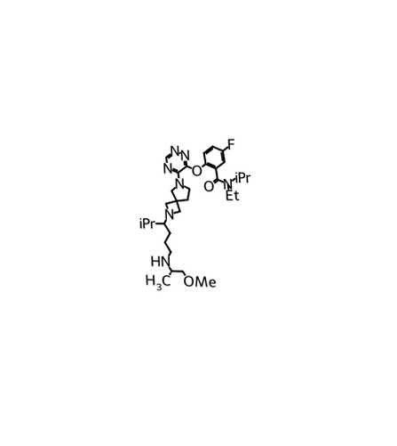 CCN(C(=O)c1cc(F)ccc1Oc1nncnc1N1CCC2(C1)CN(C(CCCN[C@H](C)COC)C(C)C)C2)C(C)C